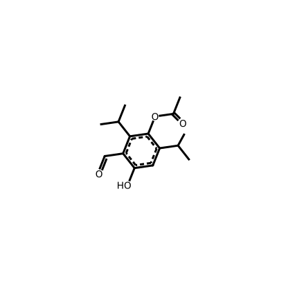 CC(=O)Oc1c(C(C)C)cc(O)c(C=O)c1C(C)C